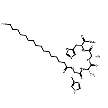 CNC(=O)[C@H](Cc1cnc[nH]1)NC(=O)[C@@H](NC(=O)[C@H](C)NC(=O)[C@H](Cc1c[nH]cn1)NC(=O)CCCCCCCCCCCCCCCO)C(C)C